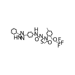 Cc1ccc(COCC(F)(F)F)c(N2C(=O)CS/C2=N\C(=O)Nc2ccc(-c3n[nH]c(-c4ccccc4)n3)cc2)c1